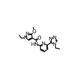 CCn1cc(C(=O)Nc2cccc(-c3nncn3CC)n2)c(OC)n1